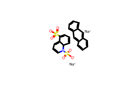 O=S(=O)([O-])C1=CC=CC2C1=CC=CN2S(=O)(=O)[O-].[Na+].[Na+].c1ccc2cc3ccccc3cc2c1